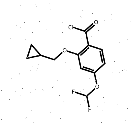 O=C(Cl)c1ccc(OC(F)F)cc1OCC1CC1